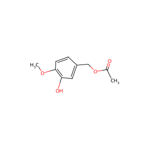 COc1ccc(COC(C)=O)cc1O